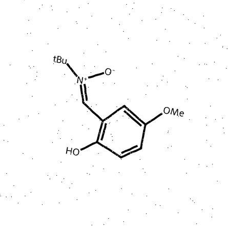 COc1ccc(O)c(C=[N+]([O-])C(C)(C)C)c1